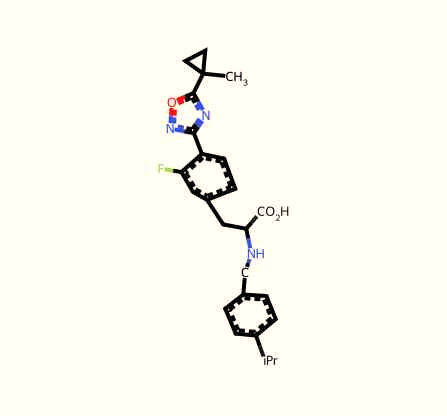 CC(C)c1ccc(CNC(Cc2ccc(-c3noc(C4(C)CC4)n3)c(F)c2)C(=O)O)cc1